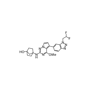 COc1nc(NC23CCC(O)(CC2)C3)nn2ccc(-c3ccc4nnn(CC(F)F)c4c3)c12